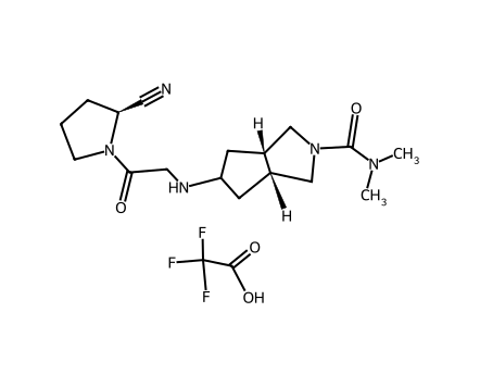 CN(C)C(=O)N1C[C@H]2CC(NCC(=O)N3CCC[C@H]3C#N)C[C@H]2C1.O=C(O)C(F)(F)F